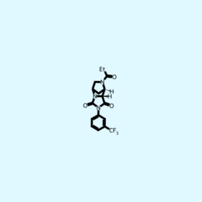 CCC(=O)N1CC2C[C@@H]1[C@@H]1C(=O)N(c3cccc(C(F)(F)F)c3)C(=O)N21